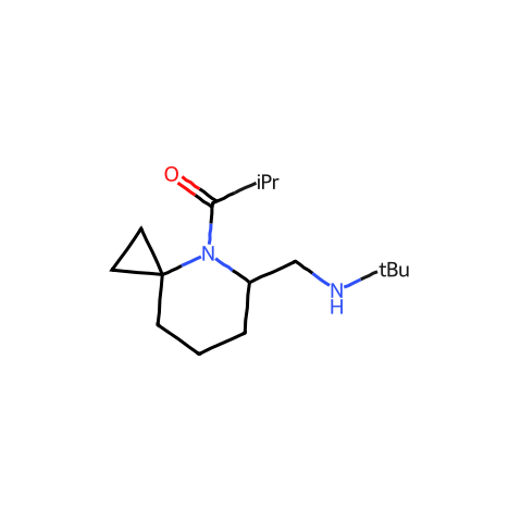 CC(C)C(=O)N1C(CNC(C)(C)C)CCCC12CC2